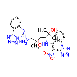 CC(O)(CNC1=Nc2ccccc2C2=NN=N[N+]12N)CC(Nc1c([N+](=O)[O-])c2nnnn2c2ccccc12)C(C)(C)O